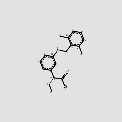 CC[C@@H](C(=O)O)c1cccc(OCc2c(C)cccc2C)c1